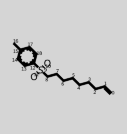 C=CCCCCCCCS(=O)(=O)c1ccc(C)cc1